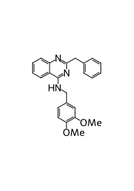 COc1ccc(CNc2nc(Cc3ccccc3)nc3ccccc23)cc1OC